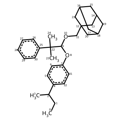 CCC(C)c1ccc(OC(OCC23CC4CC(CC(C4)C2)C3)C(C)(C)c2ccccc2)cc1